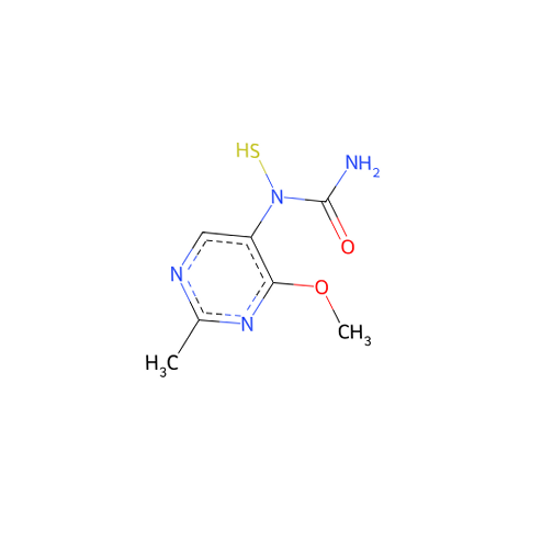 COc1nc(C)ncc1N(S)C(N)=O